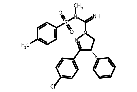 CN(C(=N)N1C[C@H](c2ccccc2)C(c2ccc(Cl)cc2)=N1)S(=O)(=O)c1ccc(C(F)(F)F)cc1